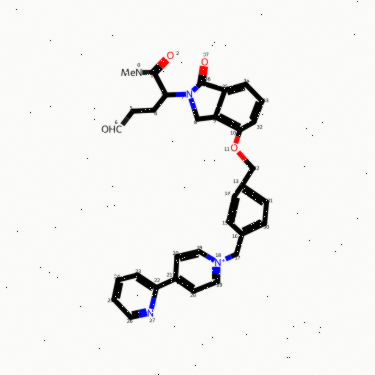 CNC(=O)C(CCC=O)N1Cc2c(OCc3ccc(C[n+]4ccc(-c5ccccn5)cc4)cc3)cccc2C1=O